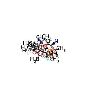 B[C@@H]1O[C@](CCP(C)(=O)OCC)(CC(F)(F)P(C)(C)=O)[C@H](OP(OCCC#N)N(C(C)C)C(C)C)C1O[Si](C)(C)C(C)(C)C